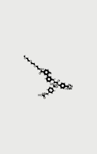 COCCOCCOCCNC(=O)c1ccc(C)c(-c2cccc(C[C@H](NC(=O)[C@H]3CC[C@H](CNC(=O)O)CC3)C(=O)Nc3ccc(-c4nnn[nH]4)cc3)c2)c1